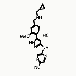 COc1cc(CNCC2CC2)ccc1-c1cc(Nc2cnc(C#N)cn2)n[nH]1.Cl